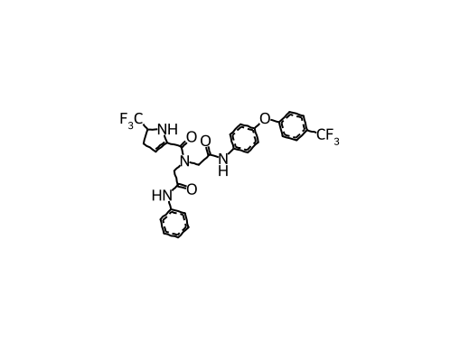 O=C(CN(CC(=O)Nc1ccc(Oc2ccc(C(F)(F)F)cc2)cc1)C(=O)C1=CCC(C(F)(F)F)N1)Nc1ccccc1